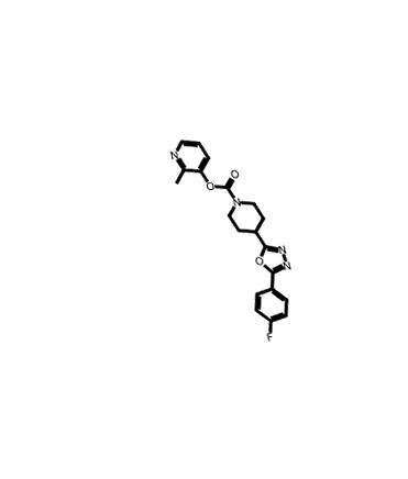 Cc1ncccc1OC(=O)N1CCC(c2nnc(-c3ccc(F)cc3)o2)CC1